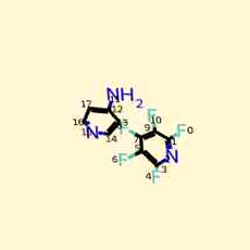 Fc1nc(F)c(F)c(F)c1F.Nc1ccncc1